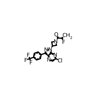 C=C(F)C(=O)N1CC(n2nc(-c3ccc(C(F)(F)F)cc3)c3ncc(Cl)nc32)C1